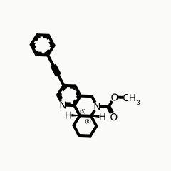 COC(=O)N1Cc2cc(C#Cc3ccccc3)cnc2[C@H]2CCCC[C@H]21